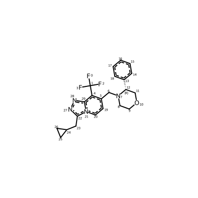 FC(F)(F)c1c(CN2CCOC[C@H]2c2ccccc2)ccn2c(CC3CC3)nnc12